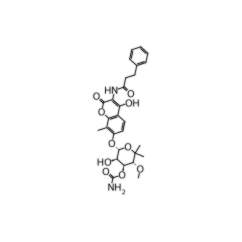 CO[C@@H]1[C@@H](OC(N)=O)[C@@H](O)[C@H](Oc2ccc3c(O)c(NC(=O)CCc4ccccc4)c(=O)oc3c2C)OC1(C)C